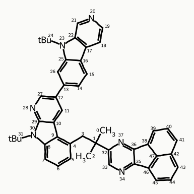 CC(C)(Cc1cccc2c1c1cc(-c3ccc4c5ccncc5n(C(C)(C)C)c4c3)cnc1n2C(C)(C)C)c1cnc2c(n1)-c1cccc3cccc-2c13